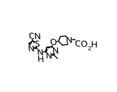 Cc1nc(Nc2ncc(C#N)s2)cc(OC2CCN(CC(=O)O)CC2)n1